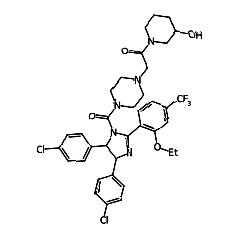 CCOc1cc(C(F)(F)F)ccc1C1=NC(c2ccc(Cl)cc2)C(c2ccc(Cl)cc2)N1C(=O)N1CCN(CC(=O)N2CCCC(O)C2)CC1